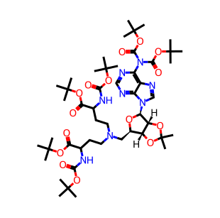 CC(C)(C)OC(=O)NC(CCN(CCC(NC(=O)OC(C)(C)C)C(=O)OC(C)(C)C)C[C@H]1O[C@@H](n2cnc3c(N(C(=O)OC(C)(C)C)C(=O)OC(C)(C)C)ncnc32)[C@@H]2OC(C)(C)O[C@@H]21)C(=O)OC(C)(C)C